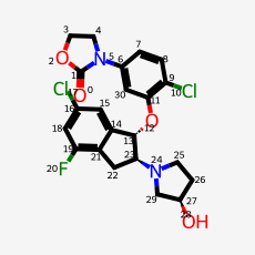 O=C1OCCN1c1ccc(Cl)c(O[C@H]2c3cc(Cl)cc(F)c3C[C@@H]2N2CC[C@@H](O)C2)c1